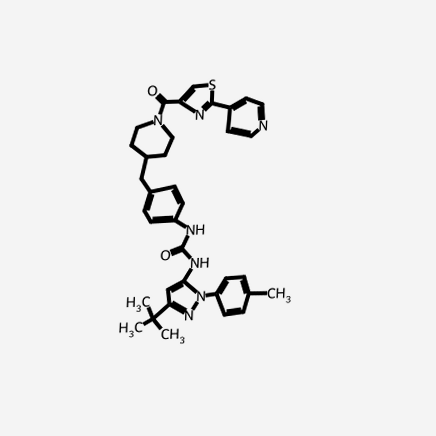 Cc1ccc(-n2nc(C(C)(C)C)cc2NC(=O)Nc2ccc(CC3CCN(C(=O)c4csc(-c5ccncc5)n4)CC3)cc2)cc1